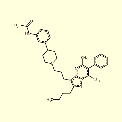 CCCCc1nc2c(C)c(-c3ccccc3)c(C)nc2n1CCCN1CCC(c2cccc(NC(C)=O)c2)CC1